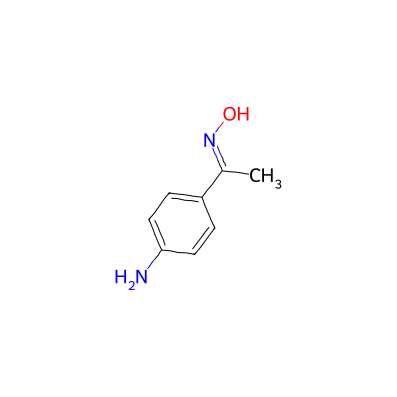 CC(=NO)c1ccc(N)cc1